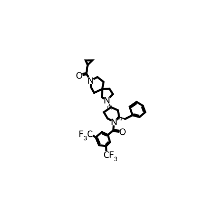 O=C(C1CC1)N1CCC2(CC1)CCN([C@H]1CCN(C(=O)c3cc(C(F)(F)F)cc(C(F)(F)F)c3)[C@H](Cc3ccccc3)C1)C2